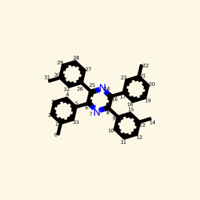 Cc1cccc(-c2nc(-c3cccc(C)c3)c(-c3cccc(C)c3)nc2-c2cccc(C)c2)c1